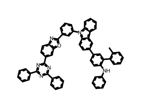 Cc1ccccc1-c1cc(-c2ccc3c(c2)c2ccccc2n3-c2cccc(-c3nc4ccc(-c5nc(-c6ccccc6)nc(-c6ccccc6)n5)cc4o3)c2)ccc1Nc1ccccc1